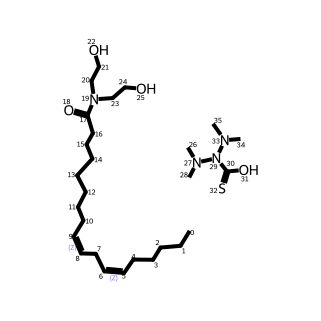 CCCCC/C=C\C/C=C\CCCCCCCC(=O)N(CCO)CCO.CN(C)N(C(O)=S)N(C)C